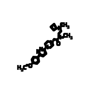 CCOc1ccc(-c2ccc(N3CCN(CC(=O)N(CC)CCN(C)C4CCC4)CC3)nn2)cc1